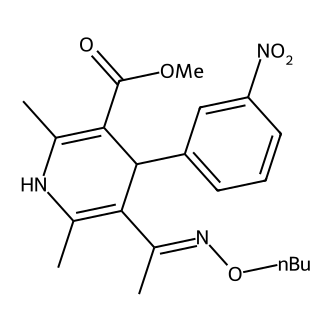 CCCCON=C(C)C1=C(C)NC(C)=C(C(=O)OC)C1c1cccc([N+](=O)[O-])c1